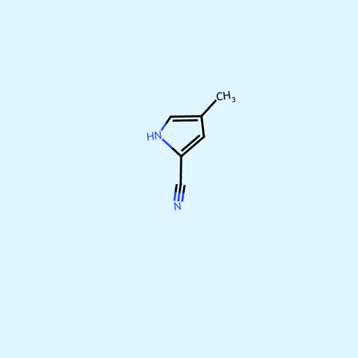 Cc1c[nH]c(C#N)c1